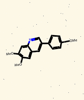 COc1ccc(-c2cnc3cc(OC)c(OC)cc3c2)cc1